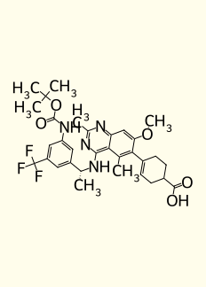 COc1cc2nc(C)nc(N[C@H](C)c3cc(NC(=O)OC(C)(C)C)cc(C(F)(F)F)c3)c2c(C)c1C1=CCC(C(=O)O)CC1